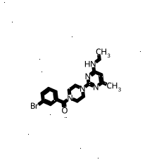 CCNc1cc(C)nc(N2CCN(C(=O)c3cccc(Br)c3)CC2)n1